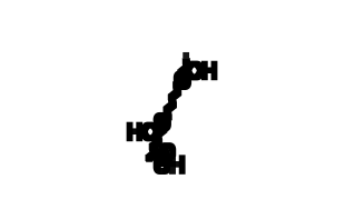 [CH2]C(O)COCCCCCCOCC(O)CC=C(C)C(=O)O